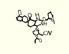 C=CC(=O)N1CCN(C2NC(OCC3CCCN3C)NC3C(=O)C4(CCc5c(Cl)cccc5C4)CCC32)CC1CC#N